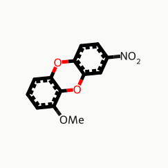 COc1cccc2c1Oc1cc([N+](=O)[O-])ccc1O2